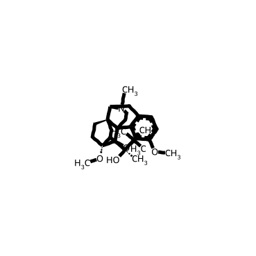 COc1ccc2c3c1OC1C34CCN(C)C(C2)[C@]42CC[C@@]1(OC)C([C@](C)(O)C(C)(C)C)C2